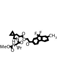 COC(=O)N[C@H](C(=O)N1CC2(CC2)CC1C(=O)OCC(=O)c1ccc2c(c1)C(F)(F)c1cc(C)ccc1-2)C(C)C